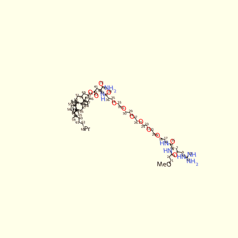 COCCC(=O)N[C@@H](CCCNC(=N)N)C(=O)NCCOCCOCCOCCOCCOCCOCCC(=O)N[C@@H](CC(=O)OC1CC[C@@]2(C)C(CC[C@H]3[C@@H]4CC[C@H]([C@H](C)CCCC(C)C)[C@@]4(C)CC[C@@H]32)C1)C(N)=O